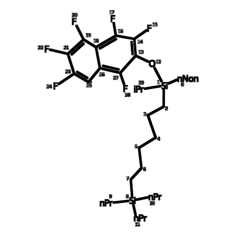 CCCCCCCCC[Si](CCCCCC[Si](CCC)(CCC)CCC)(Oc1c(F)c(F)c2c(F)c(F)c(F)[c]c2c1F)C(C)C